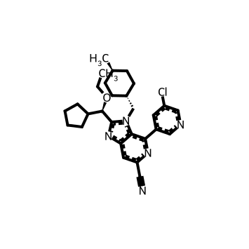 CCO[C@@H](c1nc2cc(C#N)nc(-c3cncc(Cl)c3)c2n1C[C@H]1CC[C@H](C)CC1)C1CCCC1